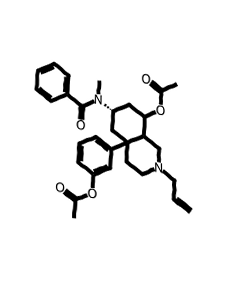 C=CCN1CCC2(c3cccc(OC(C)=O)c3)C[C@H](N(C)C(=O)c3ccccc3)CC(OC(C)=O)C2C1